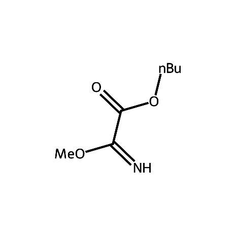 CCCCOC(=O)C(=N)OC